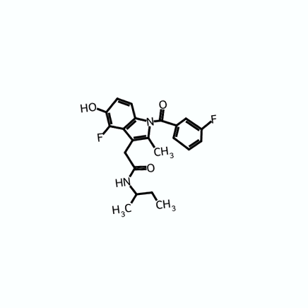 CCC(C)NC(=O)Cc1c(C)n(C(=O)c2cccc(F)c2)c2ccc(O)c(F)c12